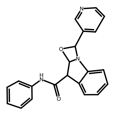 O=C(Nc1ccccc1)C1c2ccccc2N2C(c3cccnc3)OC12